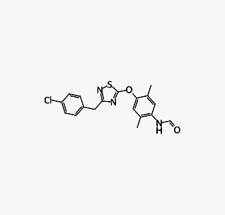 Cc1cc(Oc2nc(Cc3ccc(Cl)cc3)ns2)c(C)cc1NC=O